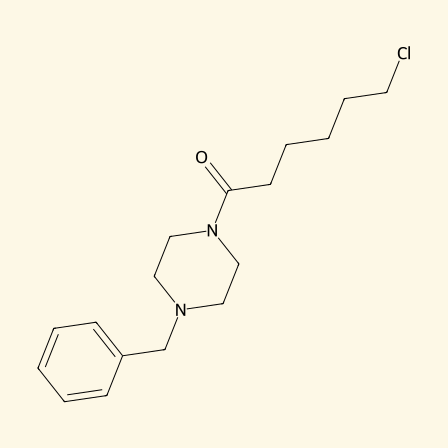 O=C(CCCCCCl)N1CCN(Cc2ccccc2)CC1